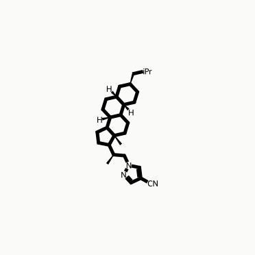 CC(C)C[C@H]1CC[C@@H]2C3CC[C@@]4(C)C(CCC4[C@H](C)Cn4cc(C#N)cn4)[C@@H]3CC[C@@H]2C1